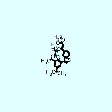 COCOc1c(-c2csc3ccc(/C(C)=C/C(=O)OC)cc23)cc(C(C)C)cc1C(C)C